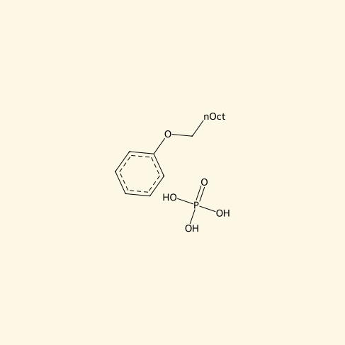 CCCCCCCCCOc1ccccc1.O=P(O)(O)O